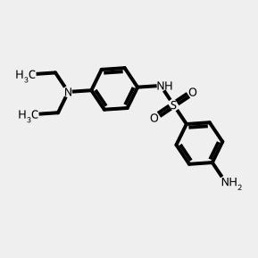 CCN(CC)c1ccc(NS(=O)(=O)c2ccc(N)cc2)cc1